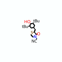 CC(C)(C)c1cc(/C=C2\SC=CN(CC#N)C2=O)cc(C(C)(C)C)c1O